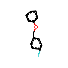 Fc1ccc(COc2ccccc2)cc1